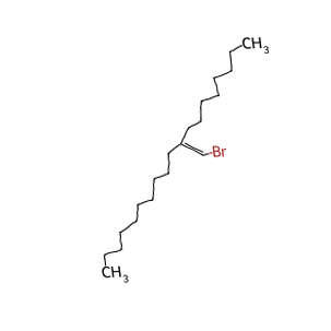 CCCCCCCCCCC(=CBr)CCCCCCCC